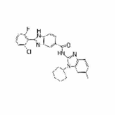 Cc1ccc2nc(NC(=O)c3ccc4[nH]c(-c5c(F)cccc5Cl)nc4c3)n(C3CCCCC3)c2c1